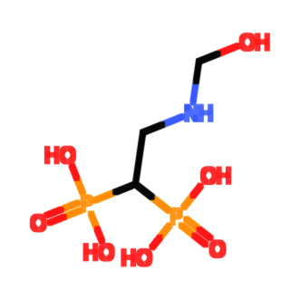 O=P(O)(O)C(CNCO)P(=O)(O)O